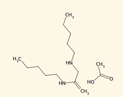 C=C(CNCCCCC)NCCCCC.CC(=O)O